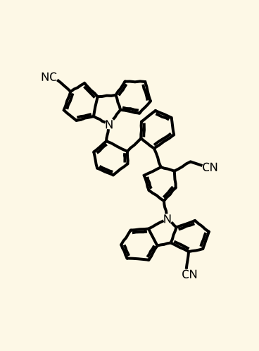 N#CCC1C=C(n2c3ccccc3c3c(C#N)cccc32)C=CC1c1ccccc1-c1ccccc1-n1c2ccccc2c2cc(C#N)ccc21